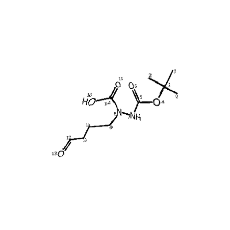 CC(C)(C)OC(=O)NN(CCCC=O)C(=O)O